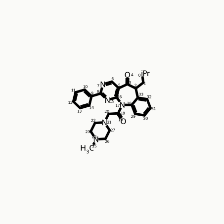 CC(C)CC1C(=O)c2cnc(-c3ccccc3)nc2N(C(=O)CN2CCN(C)CC2)c2ccccc21